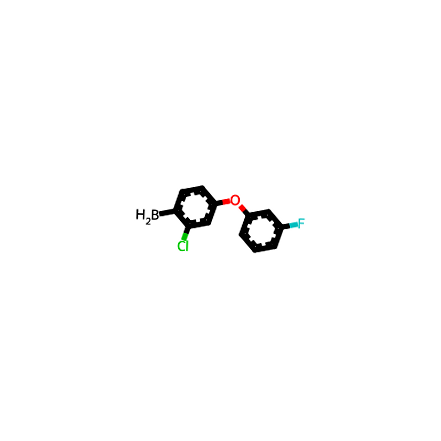 Bc1ccc(Oc2cccc(F)c2)cc1Cl